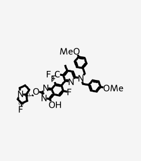 COc1ccc(CN(Cc2ccc(OC)cc2)c2cc(C)c(C(F)(F)F)c(-c3c(F)cc4c(O)nc(OC[C@@]56CCCN5C[C@H](F)C6)nc4c3F)n2)cc1